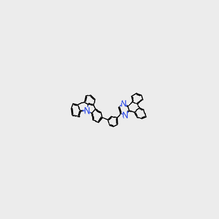 c1cc(-c2ccc3c(c2)c2cccc4c5ccccc5n3c42)cc(-c2cnc3c4ccccc4c4ccccc4c3n2)c1